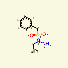 CC(C)CN(N)S(=O)(=O)Cc1ccccc1